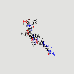 CC[C@H](C)[C@H](NC(=O)[C@H]1CCCCN1C(=O)OCc1ccc(NC(=O)[C@@H](N)CCCNC(N)=O)cc1)C(=O)N(C)[C@H](C[C@@H](OC(C)=O)c1nc(C(=O)N[C@@H](Cc2ccccc2)C[C@H](C)C(=O)O)cs1)C(C)C